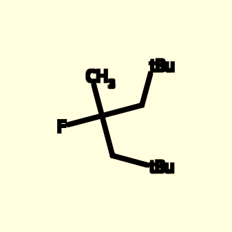 CC(C)(C)CC(C)(F)CC(C)(C)C